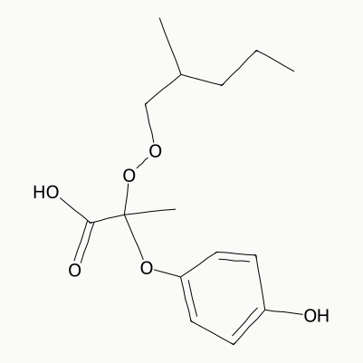 CCCC(C)COOC(C)(Oc1ccc(O)cc1)C(=O)O